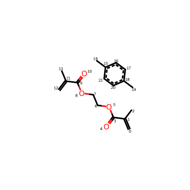 C=C(C)C(=O)OCCOC(=O)C(=C)C.Cc1ccc(C)cc1